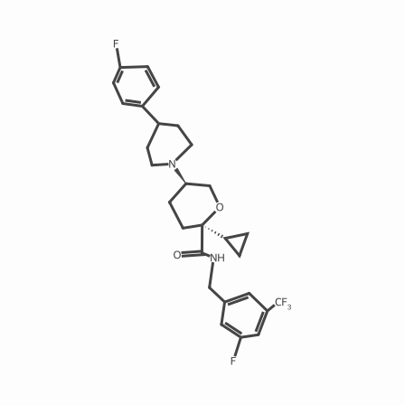 O=C(NCc1cc(F)cc(C(F)(F)F)c1)[C@@]1(C2CC2)CC[C@@H](N2CCC(c3ccc(F)cc3)CC2)CO1